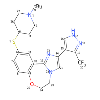 CC(C)(C)N1CCC(Sc2ccc3c(c2)-c2nc(-c4c[nH]nc4C(F)(F)F)cn2CCO3)CC1